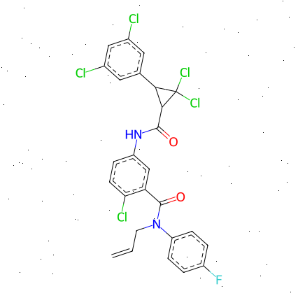 C=CCN(C(=O)c1cc(NC(=O)C2C(c3cc(Cl)cc(Cl)c3)C2(Cl)Cl)ccc1Cl)c1ccc(F)cc1